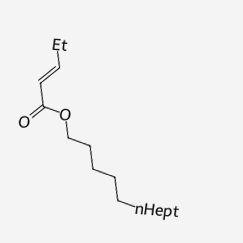 CCC=CC(=O)OCCCCCCCCCCCC